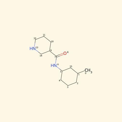 CC1CCCC(NC(=O)C2CCCNC2)C1